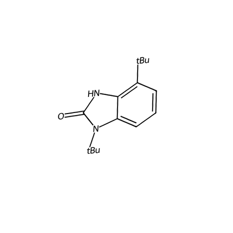 CC(C)(C)c1cccc2c1[nH]c(=O)n2C(C)(C)C